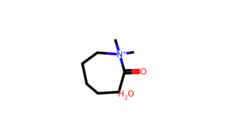 C[N+]1(C)CCCCCC1=O.O